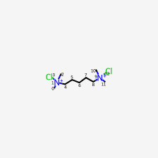 C[N+](C)(Cl)CCCCC[N+](C)(C)Cl